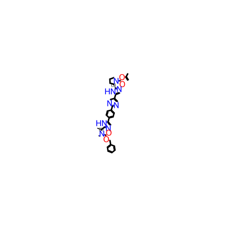 C=C(C)OC(=O)N1CCC[C@H]1c1ncc(-c2cnc(-c3ccc(-c4cnc([C@H](C)N(C)C(=O)OCc5ccccc5)[nH]4)cc3)nc2)[nH]1